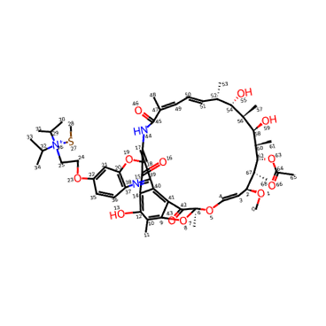 CO[C@H]1/C=C/O[C@@]2(C)Oc3c(C)c(O)c4c(=O)c(c5oc6cc(OCC[N+](SC)(C(C)C)C(C)C)ccc6nc-5c4c3C2=O)NC(=O)/C(C)=C\C=C\[C@H](C)[C@H](O)[C@@H](C)[C@@H](O)[C@@H](C)[C@H](OC(C)=O)[C@@H]1C